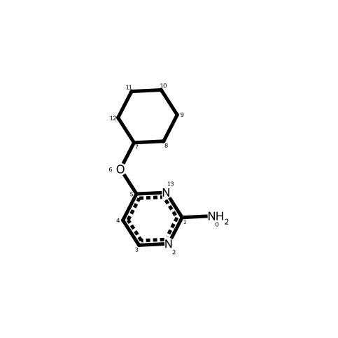 Nc1nccc(OC2CCCCC2)n1